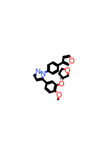 COc1ccc(-c2ccnn2-c2ccc(-c3ccoc3)cc2)cc1O[C@@H]1CCOC1